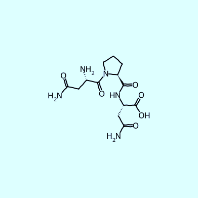 NC(=O)C[C@H](NC(=O)[C@@H]1CCCN1C(=O)[C@@H](N)CC(N)=O)C(=O)O